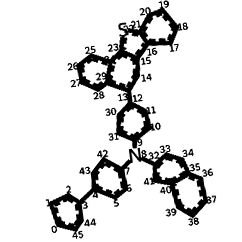 c1ccc(-c2ccc(N(c3ccc(-c4cc5c6ccccc6sc5c5ccccc45)cc3)c3ccc4ccccc4c3)cc2)cc1